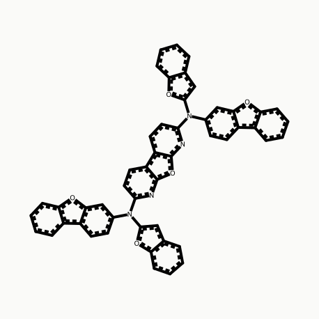 c1ccc2oc(N(c3ccc4c(c3)oc3ccccc34)c3ccc4c(n3)oc3nc(N(c5ccc6c(c5)oc5ccccc56)c5cc6ccccc6o5)ccc34)cc2c1